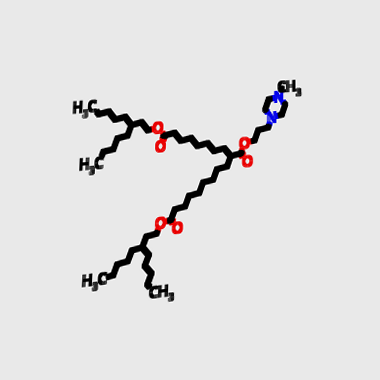 CCCCCC(CCCCC)CCOC(=O)CCCCCCCCC(CCCCCCCC(=O)OCCC(CCCCC)CCCCC)C(=O)OCCCN1CCN(C)CC1